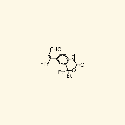 CCC/C(=C/C=O)c1ccc2c(c1)C(CC)(CC)OC(=O)N2